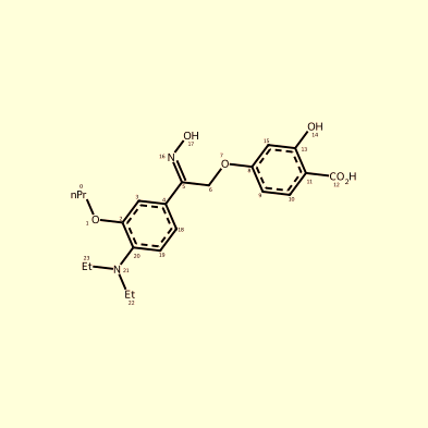 CCCOc1cc(C(COc2ccc(C(=O)O)c(O)c2)=NO)ccc1N(CC)CC